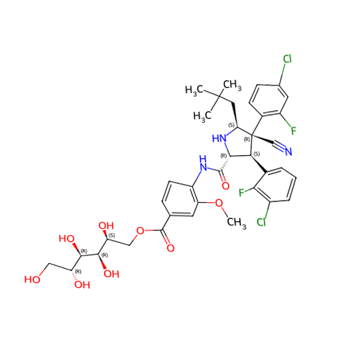 COc1cc(C(=O)OC[C@H](O)[C@@H](O)[C@H](O)[C@H](O)CO)ccc1NC(=O)[C@@H]1N[C@@H](CC(C)(C)C)[C@](C#N)(c2ccc(Cl)cc2F)[C@H]1c1cccc(Cl)c1F